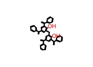 C=C(c1ccccc1)c1cc(Cc2cc(C(=C)c3ccccc3)cc(C(=C)c3ccccc3)c2O)c(O)c(C(=C)c2ccccc2)c1